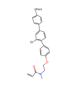 C=CC(=O)N(C)CCOc1ccc(-c2ccc(-c3ccc(CCCCC)cc3)cc2CC)cc1